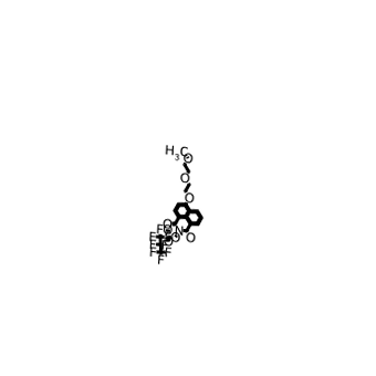 COCCOCCOc1ccc2c3c(cccc13)C(=O)N(OS(=O)(=O)C(F)(F)C(F)(F)C(F)(F)F)C2=O